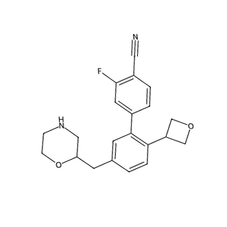 N#Cc1ccc(-c2cc(CC3CNCCO3)ccc2C2COC2)cc1F